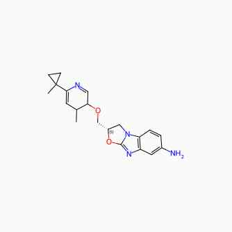 CC1C=C(C2(C)CC2)N=CC1OC[C@@H]1Cn2c(nc3cc(N)ccc32)O1